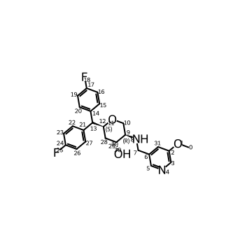 COc1cncc(CN[C@@H]2CO[C@H](C(c3ccc(F)cc3)c3ccc(F)cc3)C[C@H]2O)c1